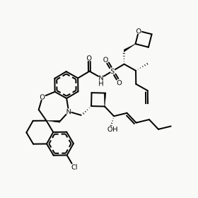 C=CC[C@@H](C)[C@@H](C[C@@H]1CCO1)S(=O)(=O)NC(=O)c1ccc2c(c1)N(C[C@@H]1CC[C@H]1[C@@H](O)/C=C/CCC)C[C@@]1(CCCc3cc(Cl)ccc31)CO2